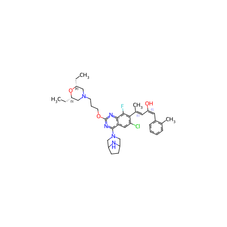 CC[C@@H]1CN(CCCOc2nc(N3CC4CCC(C3)N4)c3cc(Cl)c(/C(C)=C/C(O)=C\c4ccccc4C)c(F)c3n2)C[C@H](CC)O1